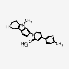 Cc1ccc(-c2ccn(-c3ccc4c5c(n(C)c4c3)CCNC5)c(=O)c2)cn1.Cl.Cl